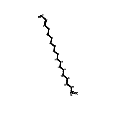 [CH2]CCC=CCCCCCCCCCCCCCCCCCCCCCCCCC